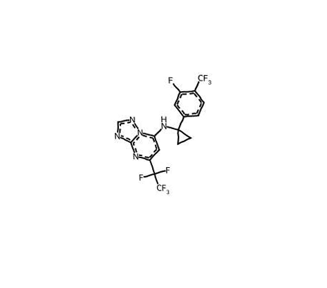 Fc1cc(C2(Nc3cc(C(F)(F)C(F)(F)F)nc4ncnn34)CC2)ccc1C(F)(F)F